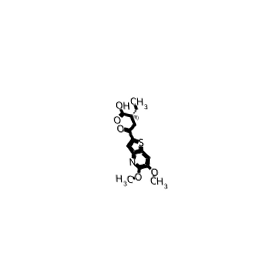 CC[C@H](CC(=O)c1cc2nc(OC)c(OC)cc2s1)C(=O)O